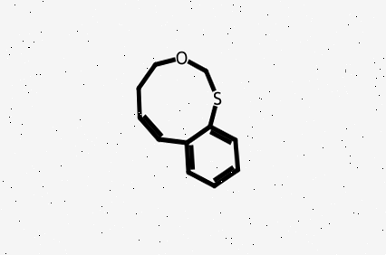 C1=Cc2ccccc2SCOCC1